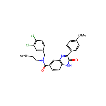 COc1ccc(-c2nc3cc(C(=O)N(CCNC(C)=O)Cc4ccc(Cl)c(Cl)c4)ccc3[nH]c2=O)cc1